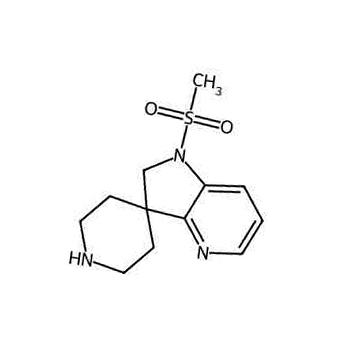 CS(=O)(=O)N1CC2(CCNCC2)c2ncccc21